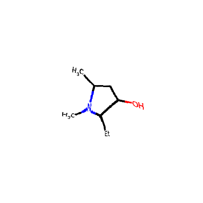 CCC1C(O)CC(C)N1C